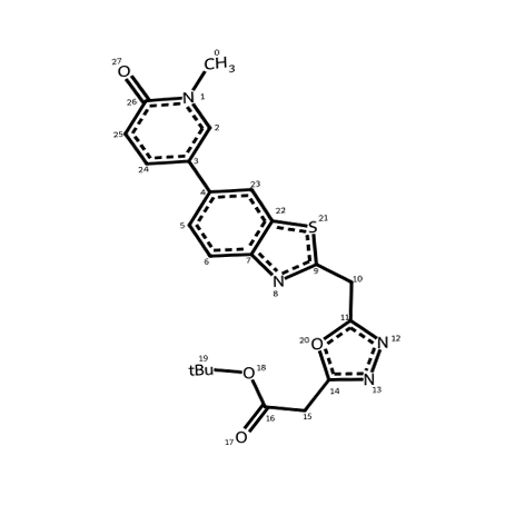 Cn1cc(-c2ccc3nc(Cc4nnc(CC(=O)OC(C)(C)C)o4)sc3c2)ccc1=O